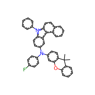 CC1(C)c2ccccc2Oc2cc(N(c3ccc(F)cc3)c3ccc4c(c3)c3c5ccccc5ccc3n4-c3ccccc3)ccc21